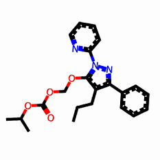 CCCc1c(-c2ccccc2)nn(-c2ccccn2)c1OCOC(=O)OC(C)C